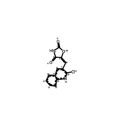 O=C1NC(=O)/C(=C\c2cc3ccccc3nc2Cl)O1